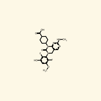 CNc1ncc2c(n1)N(C1CCC(C(=O)O)CC1)C(=O)N(c1c(F)c(O)cc(OC)c1F)C2